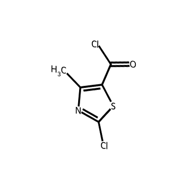 Cc1nc(Cl)sc1C(=O)Cl